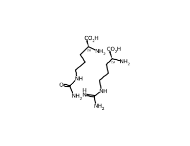 N=C(N)NCCC[C@H](N)C(=O)O.NC(=O)NCCC[C@H](N)C(=O)O